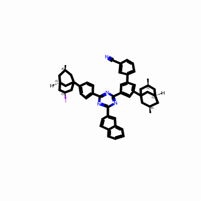 C[C@@H]1C[C@@H]2C[C@H](C)CC(c3cc(-c4cccc(C#N)c4)cc(-c4nc(-c5ccc(C67C[C@H](C)C[C@H](C[C@H](I)C6)C7)cc5)nc(-c5ccc6ccccc6c5)n4)c3)(C1)C2